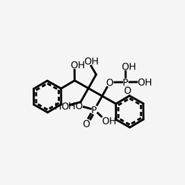 O=P(O)(O)OC(c1ccccc1)(C(CO)(CO)C(O)c1ccccc1)P(=O)(O)O